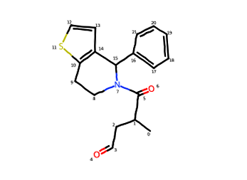 CC(CC=O)C(=O)N1CCc2sccc2C1c1ccccc1